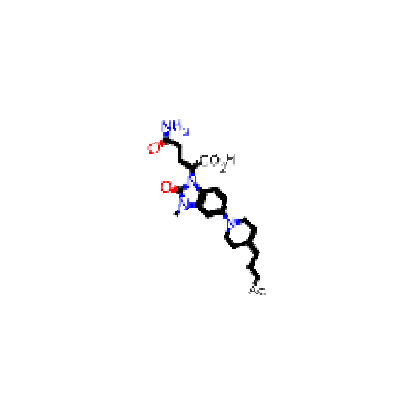 CC(=O)CCCC1CCN(c2ccc3c(c2)n(C)c(=O)n3C(CCC(N)=O)C(=O)O)CC1